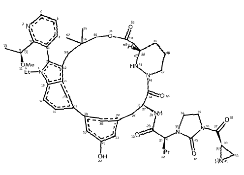 CCn1c(-c2cccnc2[C@H](C)OC)c2c3cc(ccc31)-c1cc(O)cc(c1)C[C@H](NC(=O)[C@H](C(C)C)N1CCN(C(=O)[C@H]3CN3)C1=O)C(=O)N1CCC[C@H](N1)C(=O)OCC(C)(C)C2